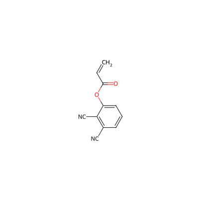 C=CC(=O)Oc1cccc(C#N)c1C#N